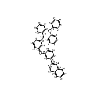 c1ccc(Oc2ccccc2[C@H](c2cccc(Oc3cccc(-c4cc5ccccc5cn4)c3)c2)c2ccccn2)cc1